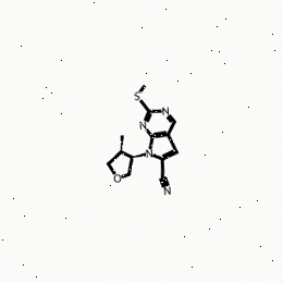 CSc1ncc2cc(C#N)n([C@H]3COC[C@H]3C)c2n1